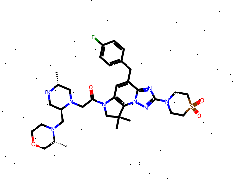 C[C@@H]1CN(CC(=O)N2CC(C)(C)c3c2cc(Cc2ccc(F)cc2)c2nc(N4CCS(=O)(=O)CC4)nn32)[C@@H](CN2CCOC[C@H]2C)CN1